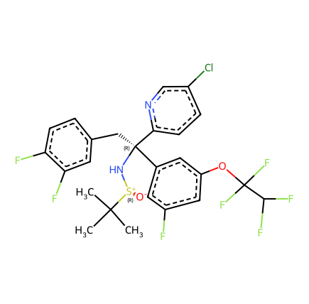 CC(C)(C)[S@+]([O-])N[C@](Cc1ccc(F)c(F)c1)(c1cc(F)cc(OC(F)(F)C(F)F)c1)c1ccc(Cl)cn1